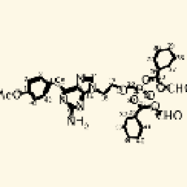 COc1ccc(Sc2nc(N)nc3c2ncn3CCOCP(=O)(OC(OC=O)C2CCCCC2)OC(OC=O)C2CCCCC2)cc1